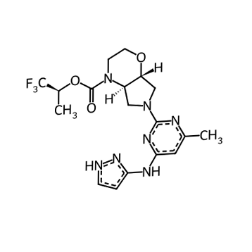 Cc1cc(Nc2cc[nH]n2)nc(N2C[C@@H]3[C@@H](C2)OCCN3C(=O)O[C@@H](C)C(F)(F)F)n1